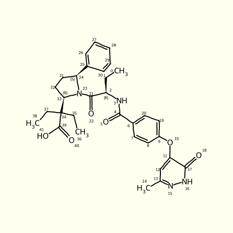 CC[C@@H](NC(=O)c1ccc(Oc2cc(C)n[nH]c2=O)cc1)C(=O)N1[C@H](c2ccccc2)CC[C@@H]1C(CC)(CC)C(=O)O